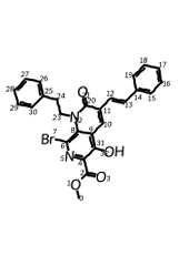 COC(=O)c1nc(Br)c2c(cc(C=Cc3ccccc3)c(=O)n2CCc2ccccc2)c1O